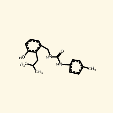 Cc1ccc(NC(=O)NCc2cccc(O)c2CC(C)C)cc1